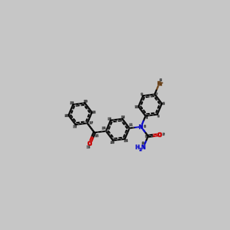 NC(=O)N(c1ccc(Br)cc1)c1ccc(C(=O)c2ccccc2)cc1